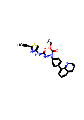 C#Cc1nc(NC(=O)NN(C(=O)OCC)c2ccc(-c3cccc4cccnc34)cc2)cs1